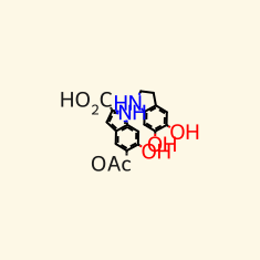 CC(=O)Oc1cc2cc(C(=O)O)[nH]c2cc1O.Oc1cc2c(cc1O)NCC2